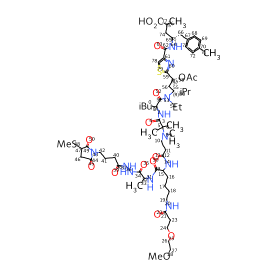 CCC(C)[C@H](NC(=O)C(C)(C)N(C)CCC(=O)NC(CCCCNC(=O)CCOCCOC)C(=O)NC(C)C(=O)NNC(=O)CCCN1C(=O)CC(SC)C1=O)C(=O)N(CC)[C@H](C[C@@H](OC(C)=O)c1nc(C(=O)N[C@@H](Cc2ccc(C)cc2)CC(C)C(=O)O)cs1)C(C)C